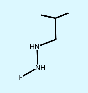 CC(C)CNNF